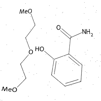 COCCOCCOC.NC(=O)c1ccccc1O